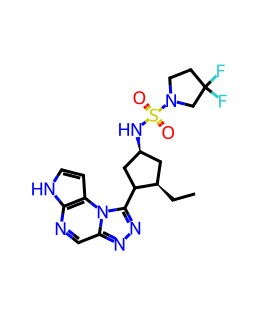 CC[C@@H]1C[C@H](NS(=O)(=O)N2CCC(F)(F)C2)CC1c1nnc2cnc3[nH]ccc3n12